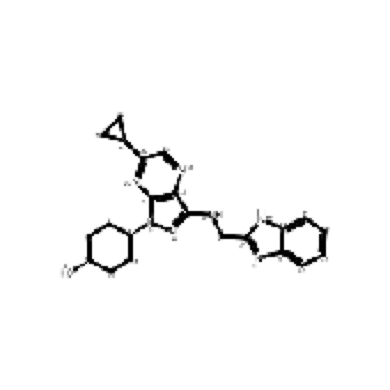 O[C@H]1CC[C@@H](n2nc(NCc3nc4ccccc4[nH]3)c3ncc(C4CC4)nc32)CC1